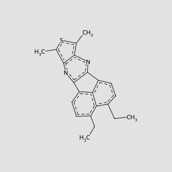 CCc1ccc2c3c(ccc(CC)c13)-c1nc3c(C)sc(C)c3nc1-2